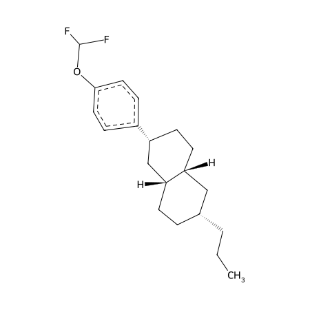 CCC[C@@H]1CC[C@@H]2C[C@H](c3ccc(OC(F)F)cc3)CC[C@@H]2C1